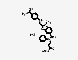 COC(=O)CCN(C(=O)c1ccc2c(c1)nc(CNc1ccc(C(=N)N)cc1)n2C)c1ccccc1.Cl